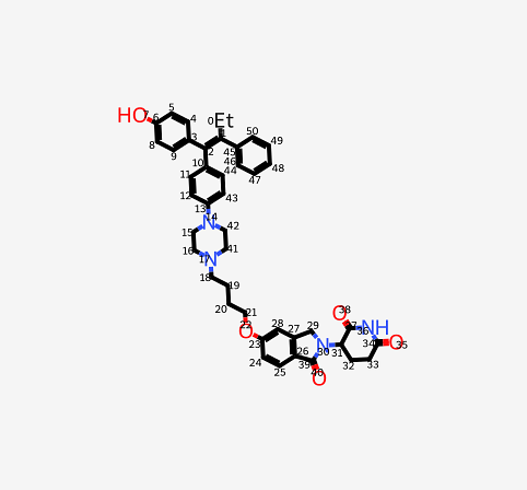 CCC(=C(c1ccc(O)cc1)c1ccc(N2CCN(CCCCOc3ccc4c(c3)CN(C3CCC(=O)NC3=O)C4=O)CC2)cc1)c1ccccc1